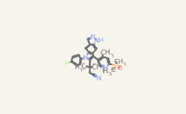 Cc1cc(P(C)(C)=O)ncc1-c1c(C(C)(C)CC#N)n(-c2ccc(F)cc2)c2cc3cn[nH]c3cc12